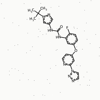 CC(C)(C)n1cc(NC(=O)Nc2cc(Oc3ccnc(-n4ccnn4)c3)ccc2F)cn1